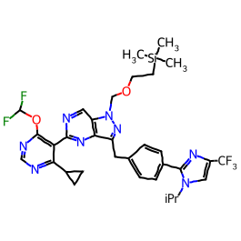 CC(C)n1cc(C(F)(F)F)nc1-c1ccc(Cc2nn(COCC[Si](C)(C)C)c3cnc(-c4c(OC(F)F)ncnc4C4CC4)nc23)cc1